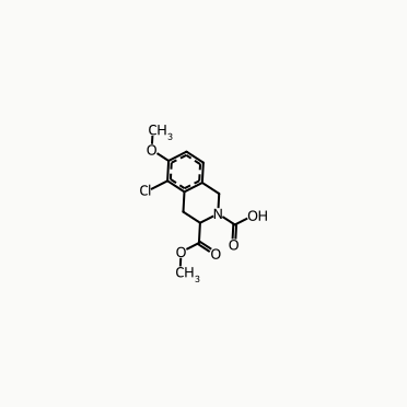 COC(=O)C1Cc2c(ccc(OC)c2Cl)CN1C(=O)O